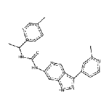 Cc1ccc(C(C)NC(=O)Nc2cc3[nH]nc(-c4ccnc(C)c4)c3cn2)nc1